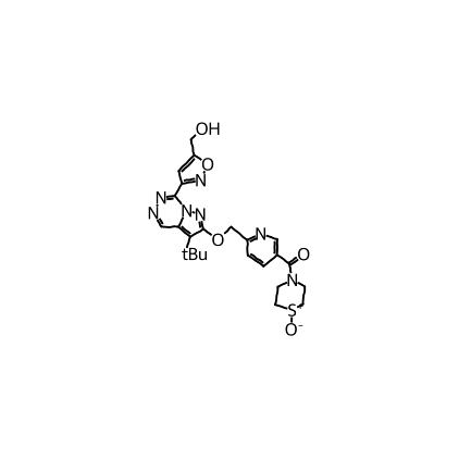 CC(C)(C)c1c(OCc2ccc(C(=O)N3CC[S+]([O-])CC3)cn2)nn2c(-c3cc(CO)on3)nncc12